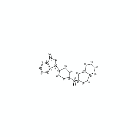 [CH]1Nc2ccccc2N1C1CCC(NC2CCC3CCCCC3C2)CC1